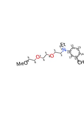 CCN(CCOCCOCCOC)c1cccc(C)c1